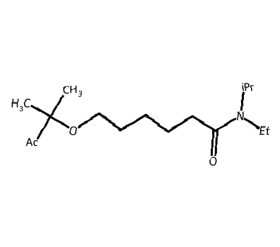 CCN(C(=O)CCCCCOC(C)(C)C(C)=O)C(C)C